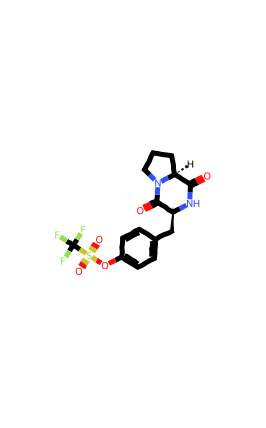 O=C1N[C@@H](Cc2ccc(OS(=O)(=O)C(F)(F)F)cc2)C(=O)N2CCC[C@@H]12